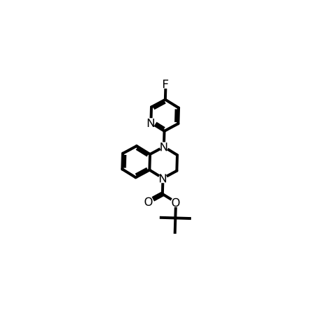 CC(C)(C)OC(=O)N1CCN(c2ccc(F)cn2)c2ccccc21